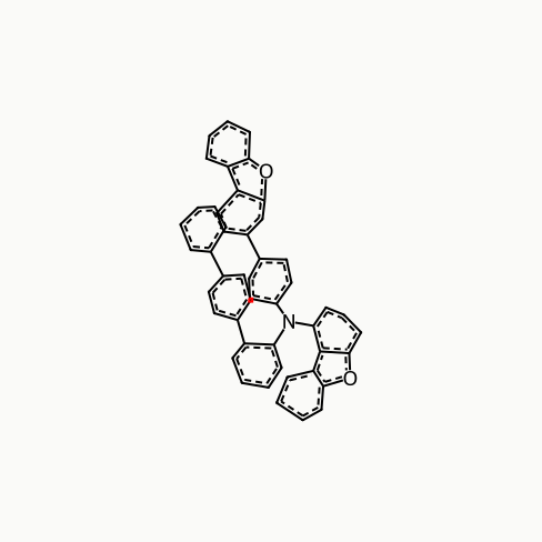 c1ccc(-c2ccc(-c3ccccc3N(c3ccc(-c4ccc5c(c4)oc4ccccc45)cc3)c3cccc4oc5ccccc5c34)cc2)cc1